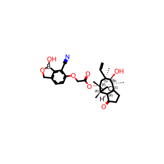 C=C[C@]1(C)C[C@@H](OC(=O)COc2ccc3c(c2C#N)B(O)OC3)[C@]2(C)[C@H](C)CC[C@]3(CCC(=O)[C@H]32)[C@@H](C)[C@@H]1O